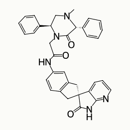 CN1C[C@H](c2ccccc2)N(CC(=O)Nc2ccc3c(c2)C[C@@]2(C3)C(=O)Nc3ncccc32)C(=O)[C@H]1c1ccccc1